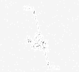 Br.CCCCCCCCC=CCCCCCCCC(=O)OC(C)C(OC(=O)CCCCCCCC=CCCCCCCCC)C(C(C)O)C(C)(C)N